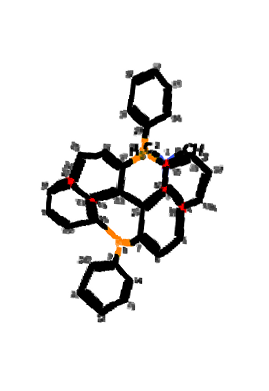 CN(C)c1cccc(P(c2ccccc2)c2ccccc2)c1-c1ccccc1P(c1ccccc1)c1ccccc1